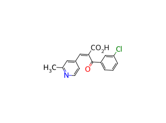 Cc1cc(/C=C(/C(=O)O)C(=O)c2cccc(Cl)c2)ccn1